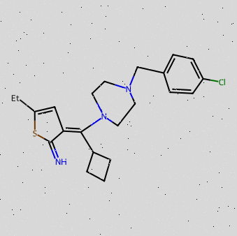 CCC1=C/C(=C(/C2CCC2)N2CCN(Cc3ccc(Cl)cc3)CC2)C(=N)S1